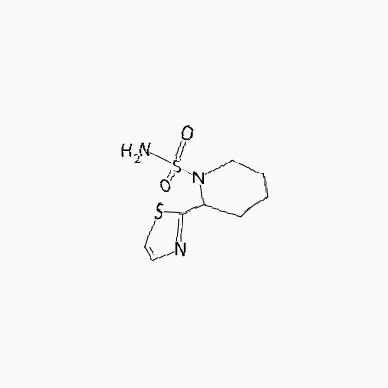 NS(=O)(=O)N1CCCCC1c1nccs1